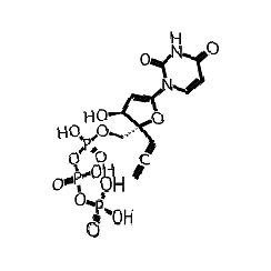 C=C=C[C@]1(COP(=O)(O)OP(=O)(O)OP(=O)(O)O)OC(n2ccc(=O)[nH]c2=O)=C[C@@H]1O